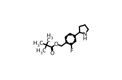 CC(C)(C)C(=O)OCc1ccc(C2CCCN2)cc1F